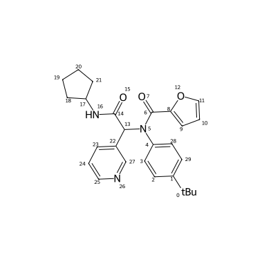 CC(C)(C)c1ccc(N(C(=O)c2ccco2)C(C(=O)NC2CCCC2)c2cccnc2)cc1